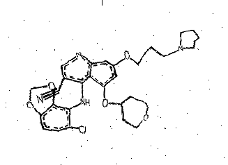 N#Cc1cnc2cc(OCCCN3CCCC3)cc(OC3CCOCC3)c2c1Nc1c(Cl)ccc2c1OCO2